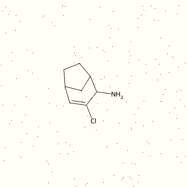 NC1C(Cl)=CC2CCC1C2